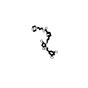 O=C(OCCCN1CCOCC1)c1ccc(CCC[C@@H]2[C@@H](CCc3cc(Cl)cc(Cl)c3)[C@H](O)C[C@H]2Cl)s1